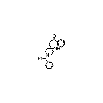 CCC(c1ccccc1)N1CCC2(CCC(=O)c3ccccc3N2)CC1